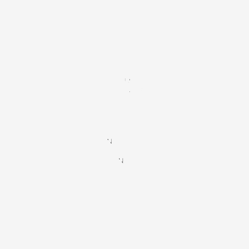 CN1CCN(Cc2ccc(C([O])=O)cc2)CC1